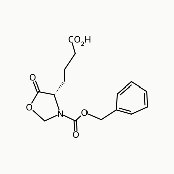 O=C(O)CCC[C@H]1C(=O)OCN1C(=O)OCc1ccccc1